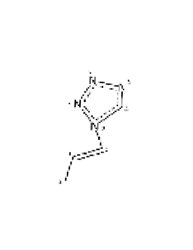 CC=Cn1[c]nnn1